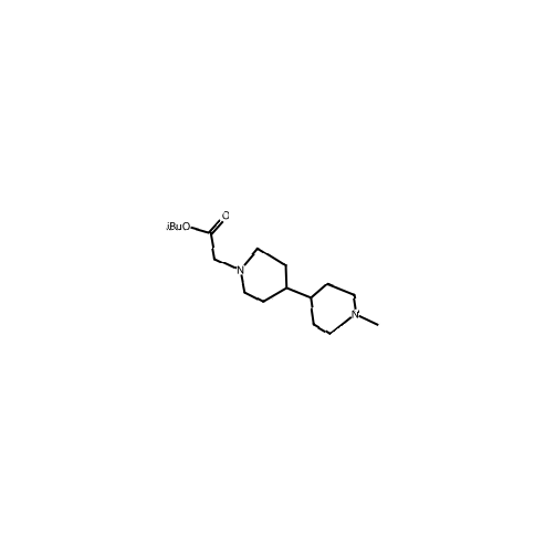 CC(C)COC(=O)CN1CCC(C2CCN(C)CC2)CC1